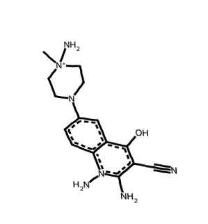 C[N+]1(N)CCN(c2ccc3c(c2)c(O)c(C#N)c(N)[n+]3N)CC1